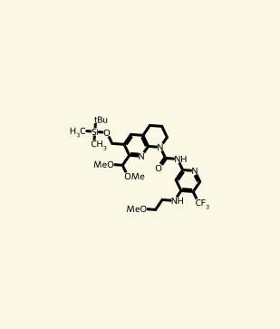 COCCNc1cc(NC(=O)N2CCCc3cc(CO[Si](C)(C)C(C)(C)C)c(C(OC)OC)nc32)ncc1C(F)(F)F